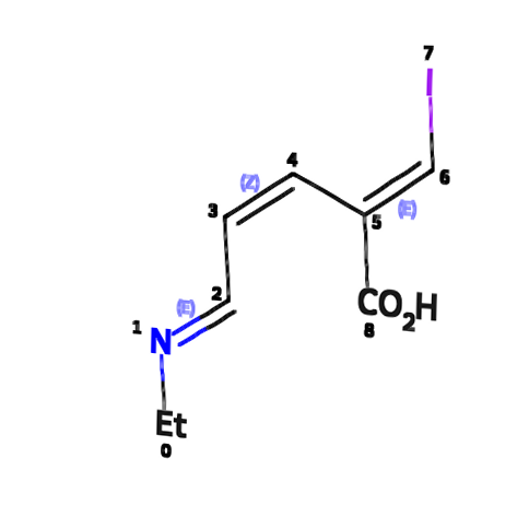 CC/N=C/C=C\C(=C/I)C(=O)O